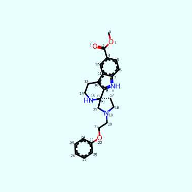 COC(=O)c1ccc2[nH]c3c(c2c1)CCN[C@@]31CCN(CCOc2ccccc2)C1